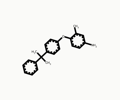 Cc1cc(N)ccc1Oc1ccc(C(C)(C)c2ccccc2)cc1